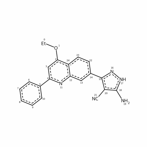 CCOc1cc(-c2ccccc2)nc2cc(-c3n[nH]c(N)c3C#N)ccc12